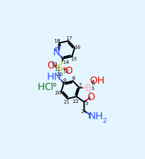 Cl.NCC1OB(O)c2cc(NS(=O)(=O)c3ccccn3)ccc21